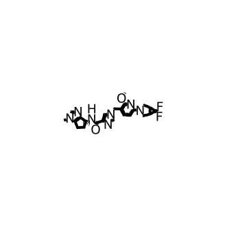 COc1nc(N2CC3C(C2)C3(F)F)ccc1Cn1cnc(C(=O)N[C@@H]2CCc3c2ncn3C)c1